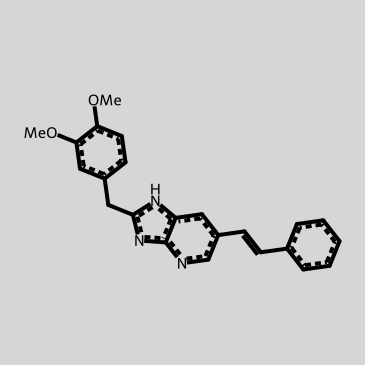 COc1ccc(Cc2nc3ncc(/C=C/c4ccccc4)cc3[nH]2)cc1OC